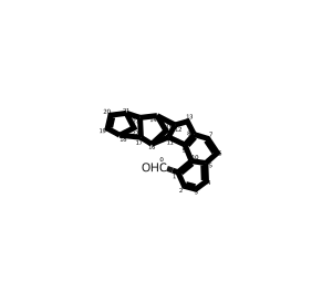 O=Cc1cccc2ccc3c(c12)C1C(C3)C2CC1C1C3C=CC(C3)C21